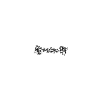 CN1CCCc2cc(C3CN(C4Cc5cc6c(cc5S4)CC(N4CC(c5cc7c(c8c5CCCN8)N(C)CCC7)C4)S6)C3)c3c(c21)NCCC3